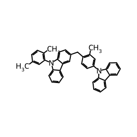 Cc1ccc(C)c(-n2c3ccccc3c3cc(Cc4ccc(-n5c6ccccc6c6ccccc65)cc4C)ccc32)c1